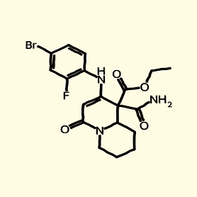 CCOC(=O)C1(C(N)=O)C(Nc2ccc(Br)cc2F)=CC(=O)N2CCCCC21